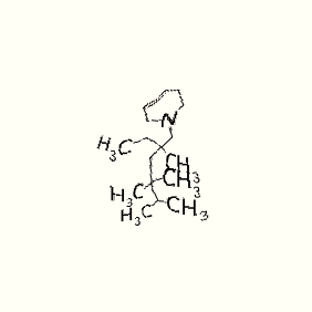 CCC(C)(CN1CC=CCC1)CC(C)(C)C(C)C